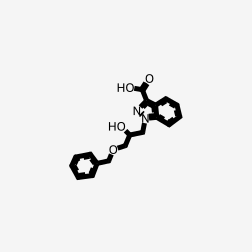 O=C(O)c1nn(CC(O)COCc2ccccc2)c2ccccc12